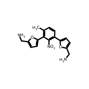 Cc1ccc(-c2ccc(CN)o2)c([N+](=O)[O-])c1-c1ccc(CN)o1